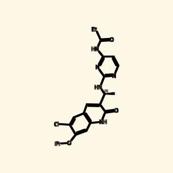 CCC(=O)Nc1ccnc(N[C@@H](C)c2cc3cc(Cl)c(OC(C)C)cc3[nH]c2=O)n1